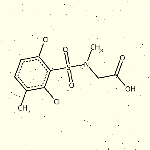 Cc1ccc(Cl)c(S(=O)(=O)N(C)CC(=O)O)c1Cl